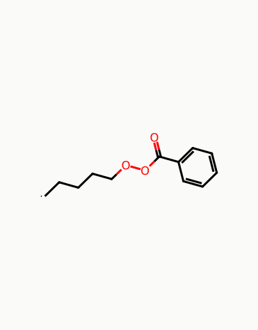 [CH2]CCCCOOC(=O)c1ccccc1